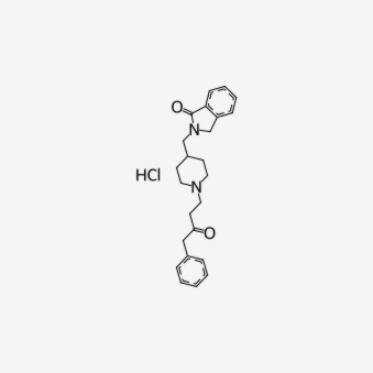 Cl.O=C(CCN1CCC(CN2Cc3ccccc3C2=O)CC1)Cc1ccccc1